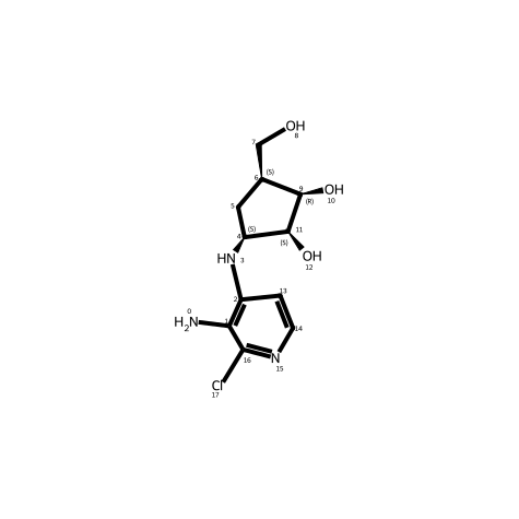 Nc1c(N[C@H]2C[C@@H](CO)[C@@H](O)[C@H]2O)ccnc1Cl